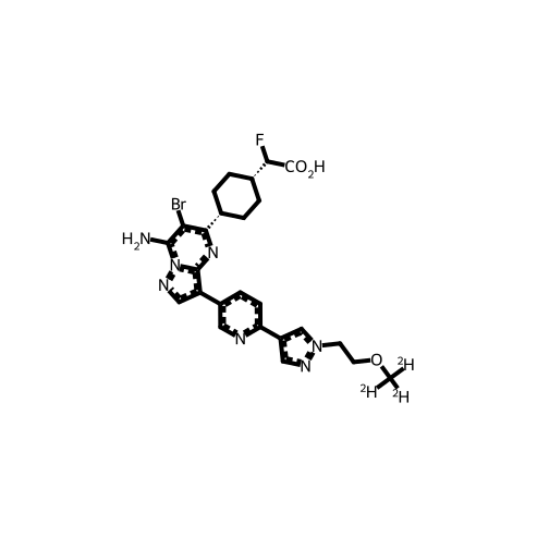 [2H]C([2H])([2H])OCCn1cc(-c2ccc(-c3cnn4c(N)c(Br)c([C@H]5CC[C@@H](C(F)C(=O)O)CC5)nc34)cn2)cn1